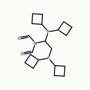 O=[CH][Ni]([CH]=O)[CH](CP(C1CCC1)C1CCC1)P(C1CCC1)C1CCC1